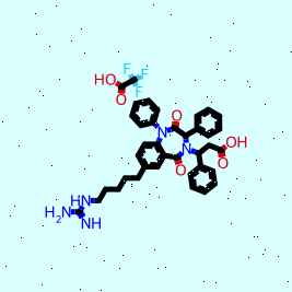 N=C(N)NCCCCCc1ccc2c(c1)C(=O)N(C(CC(=O)O)c1ccccc1)C(c1ccccc1)C(=O)N2c1ccccc1.O=C(O)C(F)(F)F